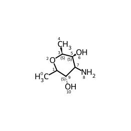 CC1O[C@@H](C)[C@@H](O)C(N)[C@@H]1O